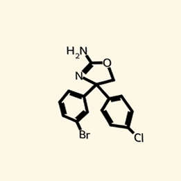 NC1=NC(c2ccc(Cl)cc2)(c2cccc(Br)c2)CO1